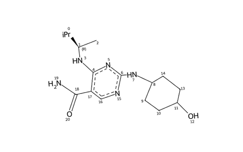 CC(C)[C@@H](C)Nc1nc(NC2CCC(O)CC2)ncc1C(N)=O